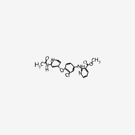 COC(=O)c1cccnc1Nc1ccc(Oc2ccnc(NC(C)=O)c2)c(Cl)c1